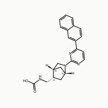 O=C(O)NC[C@H]1C[C@@H]2C[C@H]1CN2c1nccc(-c2ccc3ccccc3c2)n1